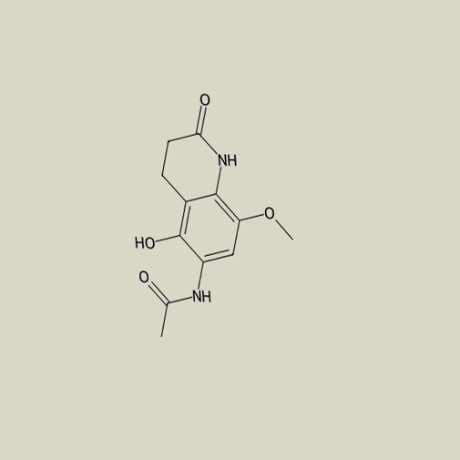 COc1cc(NC(C)=O)c(O)c2c1NC(=O)CC2